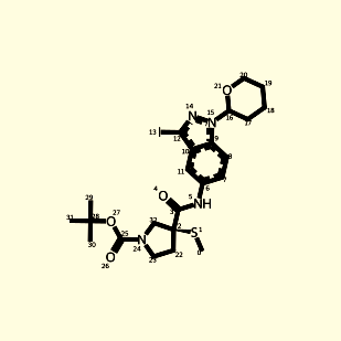 CS[C@@]1(C(=O)Nc2ccc3c(c2)c(I)nn3C2CCCCO2)CCN(C(=O)OC(C)(C)C)C1